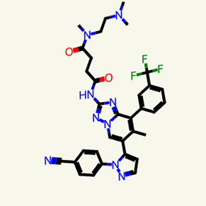 Cc1c(-c2ccnn2-c2ccc(C#N)cc2)cn2nc(NC(=O)CCC(=O)N(C)CCN(C)C)nc2c1-c1cccc(C(F)(F)F)c1